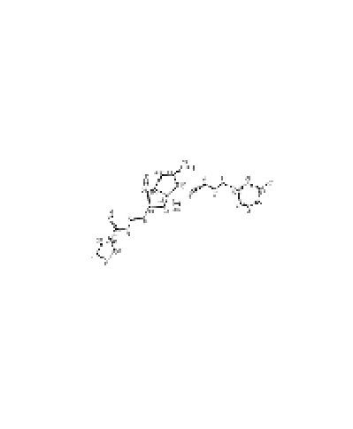 Cc1cccc(CC/C=C/[C@@H]2[C@H]3CC(CCCC(=O)N4CCCC4)=C[C@H]3C[C@H]2O)c1